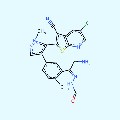 Cc1ccc(-c2cnn(C)c2-c2sc3ncc(Cl)cc3c2C#N)cc1/C(CN)=N\NC=O